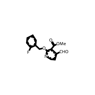 COC(=O)c1c(C=O)ccnc1OCc1ccccc1F